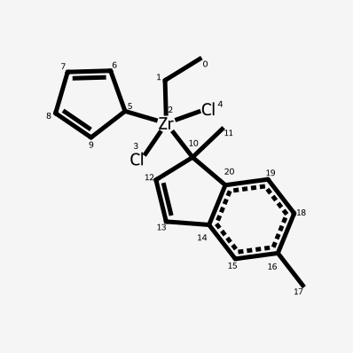 C[CH2][Zr]([Cl])([Cl])([CH]1C=CC=C1)[C]1(C)C=Cc2cc(C)ccc21